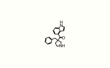 O=C(c1cccc2[nH]ccc12)C1(Cc2ccccc2)CCNC1